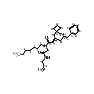 CCCCCCCN(CC(=O)NCCO)C(=O)/C=C(/CCCc1ccccc1)CC1(O)CCC1